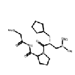 COCC(=O)NC(=O)C1CCCN1C(=O)[C@H](CC1CCCC1)CN(O)C=O